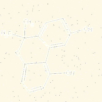 CC1(C)Oc2cccc(O)c2-c2cc(O)ccc21